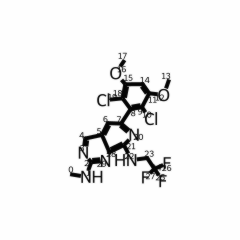 CNc1ncc2cc(-c3c(Cl)c(OC)cc(OC)c3Cl)nc(NCC(F)(F)F)c2n1